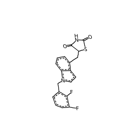 O=C1NC(=O)C(Cc2cccc3c2ccn3Cc2cccc(F)c2F)S1